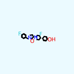 O=C1[C@@H](N2CC[C@@H](C3C=CC(O)=CC3)[C@H](F)C2)CCN1Cc1ccc(F)cc1